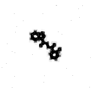 O=C(CCC(=O)c1csc2ccccc12)c1ccccc1Cl